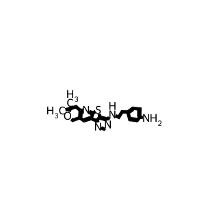 CC1(C)Cc2nc3sc4c(NCCc5ccc(N)cc5)ncnc4c3cc2CO1